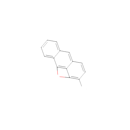 CC(C)COc1ccc2cc3ccccc3c3c2c1O3